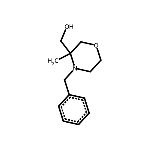 CC1(CO)COCCN1Cc1ccccc1